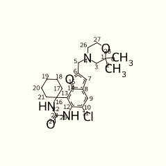 CC1(C)CN(Cc2cc3cc(Cl)c4c(c3o2)C2(CCCCC2)NC(=O)N4)CCO1